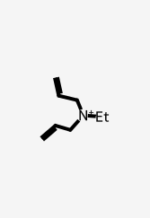 C=CC[N+](CC)CC=C